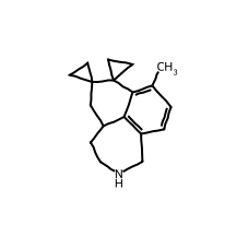 Cc1ccc2c3c1C1(CC1)C1(CC1)CC3CCNC2